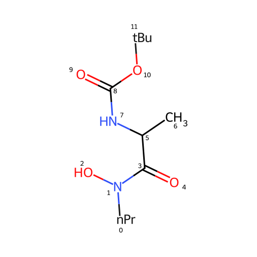 CCCN(O)C(=O)C(C)NC(=O)OC(C)(C)C